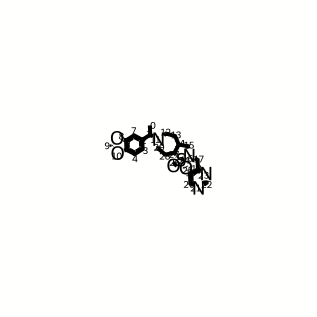 CC(c1ccc2c(c1)OCO2)N1CCC2CN(Cc3ccncn3)S(=O)(=O)C2CC1